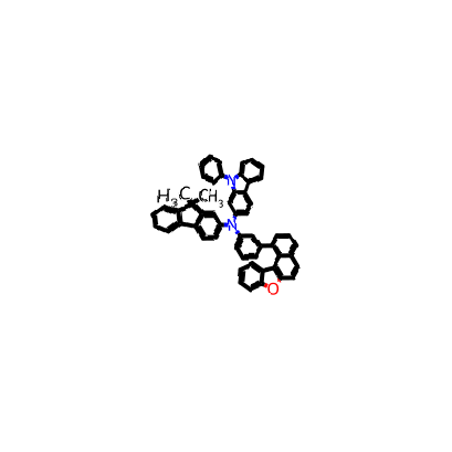 CC1(C)c2ccccc2-c2ccc(N(c3cccc(-c4cccc5ccc6oc7ccccc7c6c45)c3)c3ccc4c5ccccc5n(-c5ccccc5)c4c3)cc21